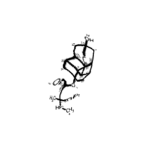 CCCC(C)(PC)C(=O)OC12CC3C4CC5(O)CC3C(C1)C(C5)C4C2